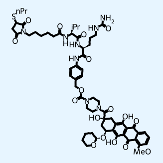 CCCSC1CC(=O)N(CCCCCC(=O)N[C@H](C(=O)N[C@@H](CCCNC(N)=O)C(=O)Nc2ccc(COC(=O)N3CCN(C(=O)[C@]4(O)Cc5c(O)c6c(c(O)c5[C@@H](O[C@H]5CCCCO5)C4)C(=O)c4c(OC)cccc4C6=O)CC3)cc2)C(C)C)C1=O